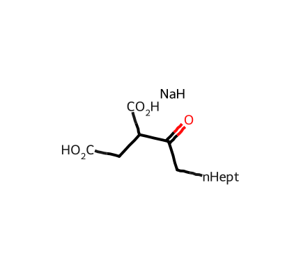 CCCCCCCCC(=O)C(CC(=O)O)C(=O)O.[NaH]